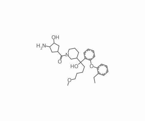 CCc1ccccc1Oc1ccccc1C(O)(CCCCOC)C1CCCN(C(=O)C2CC(N)C(O)C2)C1